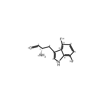 N[C@H]([C]=O)Cc1c[nH]c2c(F)ccc(F)c12